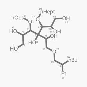 CCCCCCCCOC(C(O)CO)C(O)(C(O)COCC(CC)CCCC)C(OCCCCCCC)C(O)CO